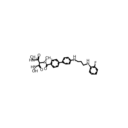 CNC(=O)C(C(=O)NO)N(C)C(=O)c1ccc(-c2ccc(NCCCNc3ccccc3F)cc2)cc1